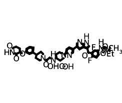 CCN(C)S(=O)(=O)Nc1ccc(F)c(C(=O)c2c[nH]c3ncc(-c4ccc(N5CCC(NCC(=O)N6CCC(c7cccc(OC8CCC(=O)NC8=O)c7)CC6)CC5)nc4)cc23)c1F.O=CO